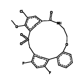 COc1c(Cl)cc2cc1S(=O)(=O)Cc1cc(c(F)cc1F)-c1ccccc1OCCNC2=O